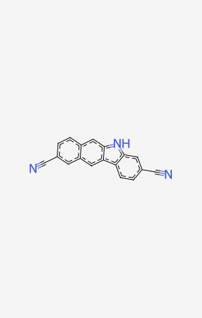 N#Cc1ccc2cc3[nH]c4cc(C#N)ccc4c3cc2c1